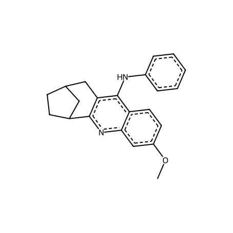 COc1ccc2c(Nc3ccccc3)c3c(nc2c1)C1CCC(C3)C1